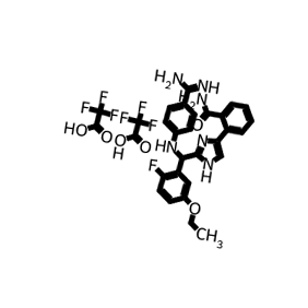 CCOc1ccc(F)c(C(Nc2ccc(C(=N)N)cc2)c2nc(-c3ccccc3C(N)=O)c[nH]2)c1.O=C(O)C(F)(F)F.O=C(O)C(F)(F)F